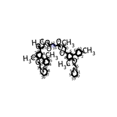 Cc1ccc(-c2cc(C(=O)CC(C)OC(=O)/C=C/C(=O)OC(C)CC(=O)c3cc(C)c(OCCN4CCCCC4)c(-c4ccccc4C)c3)cc(C)c2OCCN2CCCCC2)cc1